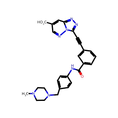 CN1CCN(Cc2ccc(NC(=O)c3cccc(C#Cc4nnc5cc(C(=O)O)cnn45)c3)cc2)CC1